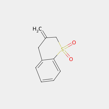 C=C1Cc2ccccc2S(=O)(=O)C1